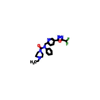 CCN1CCN(C(=O)N(Cc2ccc(-c3nnc(C(F)F)o3)cn2)c2ccccc2)CC1